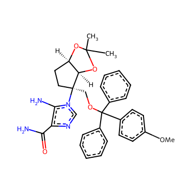 COc1ccc(C(OC[C@]2(n3cnc(C(N)=O)c3N)CC[C@H]3OC(C)(C)O[C@H]32)(c2ccccc2)c2ccccc2)cc1